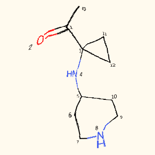 CC(=O)C1(NC2CCNCC2)CC1